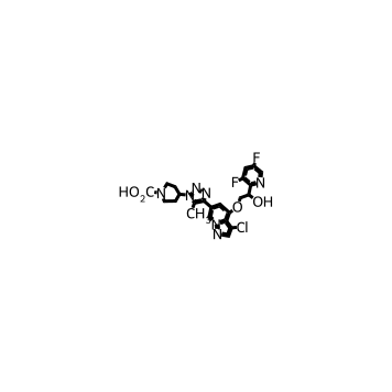 Cc1c(-c2cc(OCC(O)c3ncc(F)cc3F)c3c(Cl)cnn3c2)nnn1C1CCN(C(=O)O)CC1